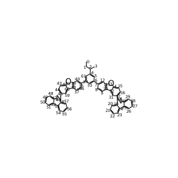 CCC(C)c1cc(-c2ccc3c(c2)oc2ccc(-n4c5ccccc5c5ccccc54)cc23)cc(-c2ccc3c(c2)oc2ccc(-n4c5ccccc5c5ccccc54)cc23)c1